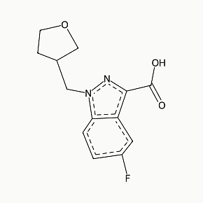 O=C(O)c1nn(CC2CCOC2)c2ccc(F)cc12